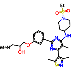 CCS(=O)(=O)N1CCC(Nc2nc(-c3cccc(OCC(O)CNC)c3)nc(-c3c(C)nsc3C)c2C)CC1